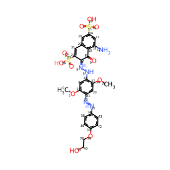 COc1cc(N/N=C2\C(=O)c3c(N)cc(S(=O)(=O)O)cc3C=C2S(=O)(=O)O)c(OC)cc1/N=N/c1ccc(OCCO)cc1